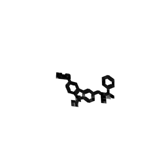 CCn1c2ccc(CN[C@H](C)c3ccccc3)cc2c2cc(OC)ccc21